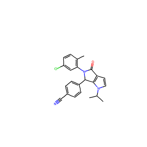 Cc1ccc(Cl)cc1N1C(=O)c2ccn(C(C)C)c2C1c1ccc(C#N)cc1